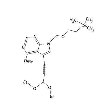 CCOC(C#Cc1cn(COCC[Si](C)(C)C)c2ncnc(OC)c12)OCC